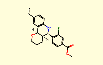 CCc1ccc2c(c1)[C@@H]1OCCC[C@@H]1[C@H](c1ccc(C(=O)OC)cc1F)N2